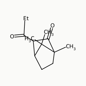 CCC(=O)C1C(=O)C2(C)CCC1C2(C)C